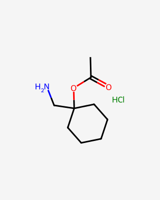 CC(=O)OC1(CN)CCCCC1.Cl